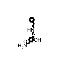 NC(=O)Cc1ccc(OCCNCCCc2ccccc2)c(O)c1